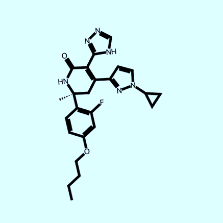 CCCCOc1ccc([C@]2(C)CC(c3ccn(C4CC4)n3)=C(c3nnc[nH]3)C(=O)N2)c(F)c1